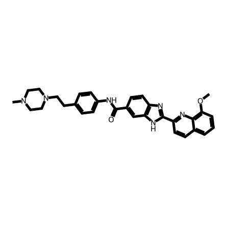 COc1cccc2ccc(-c3nc4ccc(C(=O)Nc5ccc(CCN6CCN(C)CC6)cc5)cc4[nH]3)nc12